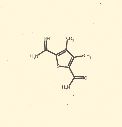 Cc1c(C(=N)N)sc(C(N)=O)c1C